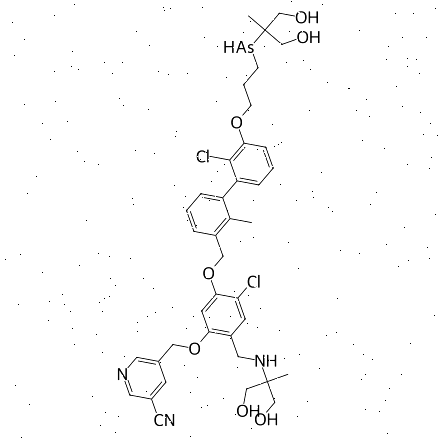 Cc1c(COc2cc(OCc3cncc(C#N)c3)c(CNC(C)(CO)CO)cc2Cl)cccc1-c1cccc(OCCC[AsH]C(C)(CO)CO)c1Cl